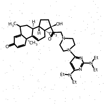 CCN(CC)c1cc(N2CCN(CC(=O)[C@@]3(O)CC[C@H]4[C@@H]5CC(C)C6=CC(=O)C=C[C@]6(C)C5=CC[C@@]43C)CC2)nc(N(CC)CC)n1